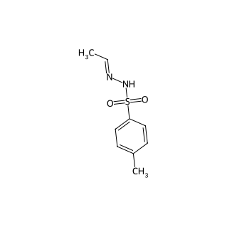 CC=NNS(=O)(=O)c1ccc(C)cc1